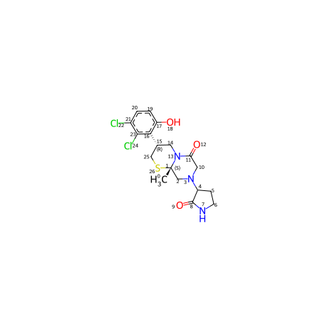 C[C@]12CN(C3CCNC3=O)CC(=O)N1C[C@@H](c1c(O)ccc(Cl)c1Cl)CS2